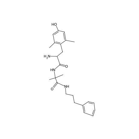 Cc1cc(O)cc(C)c1CC(N)C(=O)NC(C)(C)C(=O)NCCCc1ccccc1